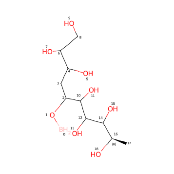 BOC(CC(O)C(O)CO)C(O)C(O)C(O)[C@@H](C)O